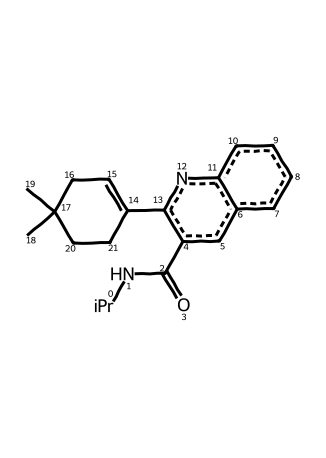 CC(C)NC(=O)c1cc2ccccc2nc1C1=CCC(C)(C)CC1